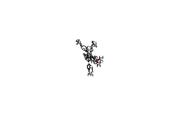 CC(=O)c1ccc(-c2cnn3c(N(COCC[Si](C)(C)C)COCC[Si](C)(C)C)cc([C@@H]4C[C@H]5CC[C@@H](C4)N5C(=O)OC(C)(C)C)nc23)cn1